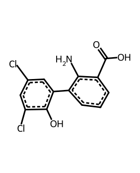 Nc1c(C(=O)O)cccc1-c1cc(Cl)cc(Cl)c1O